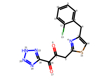 O=C(Cc1nc(Cc2ccccc2F)cs1)C(=O)c1nn[nH]n1